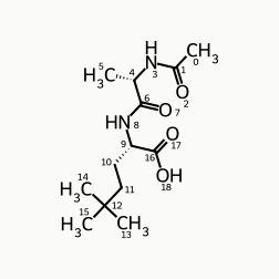 CC(=O)N[C@@H](C)C(=O)N[C@@H](CCC(C)(C)C)C(=O)O